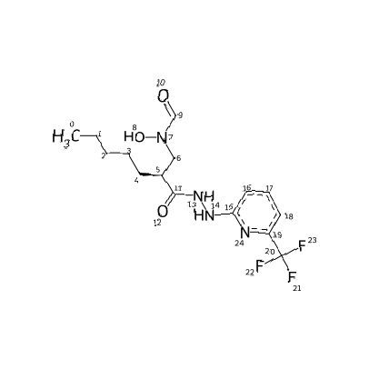 CCCCC[C@@H](CN(O)C=O)C(=O)NNc1cccc(C(F)(F)F)n1